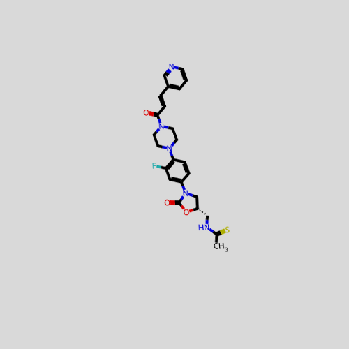 CC(=S)NC[C@H]1CN(c2ccc(N3CCN(C(=O)C=Cc4cccnc4)CC3)c(F)c2)C(=O)O1